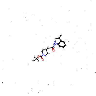 CC(C)c1ccccc1NC(=O)CC1CCN(C(=O)OC(C)(C)C)CC1